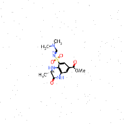 COC(=O)c1cc2c(c(S(=O)(=O)/N=C/N(C)C)c1)N[C@@H](C)C(=O)N2